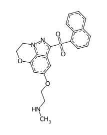 CNCCOc1cc2c3c(c1)c(S(=O)(=O)c1cccc4ccccc14)nn3CCO2